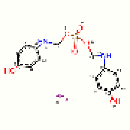 O=S(=O)(OCNc1ccc(O)cc1)OCNc1ccc(O)cc1.P